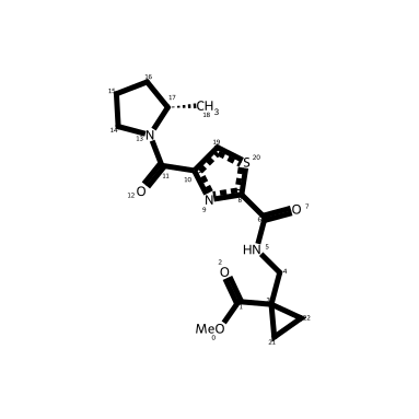 COC(=O)C1(CNC(=O)c2nc(C(=O)N3CCC[C@@H]3C)cs2)CC1